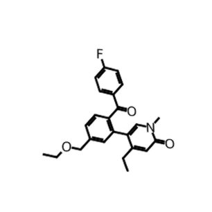 CCOCc1ccc(C(=O)c2ccc(F)cc2)c(-c2cn(C)c(=O)cc2CC)c1